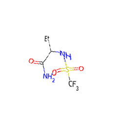 CCC(NS(=O)(=O)C(F)(F)F)C(N)=O